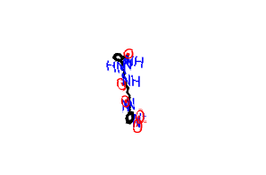 O=C(CCCc1nc(-c2cccc([N+](=O)[O-])c2)no1)NCCNc1n[nH]c(=O)c2ccccc12